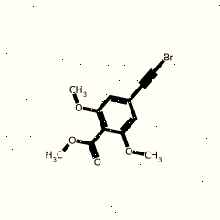 COC(=O)c1c(OC)cc(C#CBr)cc1OC